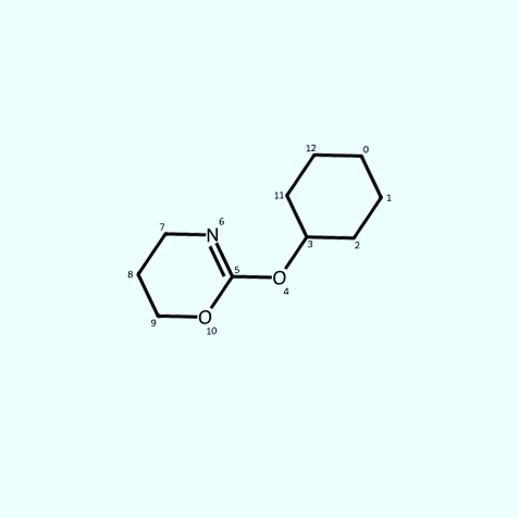 C1CCC(OC2=NCCCO2)CC1